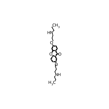 CCCNCCCOc1ccc2c(=O)c3cc(OCCCNCCC)ccc3oc2c1